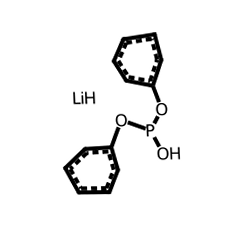 OP(Oc1ccccc1)Oc1ccccc1.[LiH]